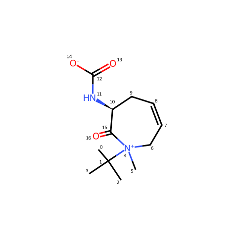 CC(C)(C)[N+]1(C)CC=CC[C@H](NC(=O)[O-])C1=O